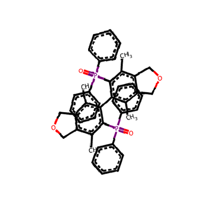 Cc1c2c(c(C)c(P(=O)(c3ccccc3)c3ccccc3)c1-c1c(C)c3c(c(C)c1P(=O)(c1ccccc1)c1ccccc1)COC3)COC2